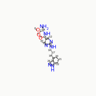 COC(=O)C(CN)NC(=O)c1c(C)nc(NCCCc2cccc3[nH]ncc23)nc1C